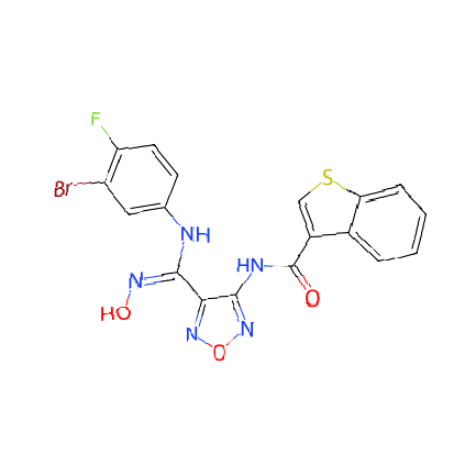 O=C(Nc1nonc1/C(=N\O)Nc1ccc(F)c(Br)c1)c1csc2ccccc12